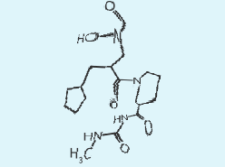 CNC(=O)NC(=O)[C@@H]1CCCN1C(=O)C(CC1CCCC1)CN(O)C=O